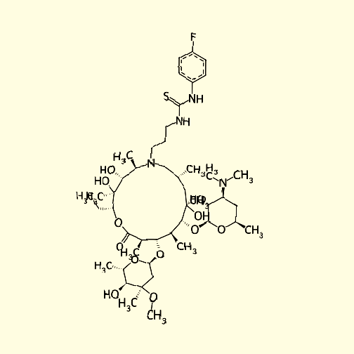 CC[C@H]1OC(=O)[C@H](C)[C@@H](O[C@H]2C[C@@](C)(OC)[C@@H](O)[C@H](C)O2)[C@H](C)[C@@H](O[C@@H]2O[C@H](C)C[C@H](N(C)C)[C@H]2O)[C@](C)(O)C[C@@H](C)CN(CCCNC(=S)Nc2ccc(F)cc2)[C@H](C)[C@@H](O)[C@]1(C)O